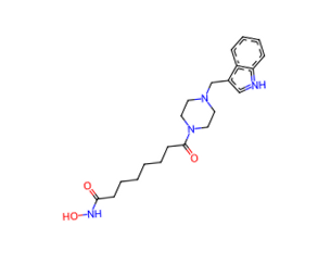 O=C(CCCCCCC(=O)N1CCN(Cc2c[nH]c3ccccc23)CC1)NO